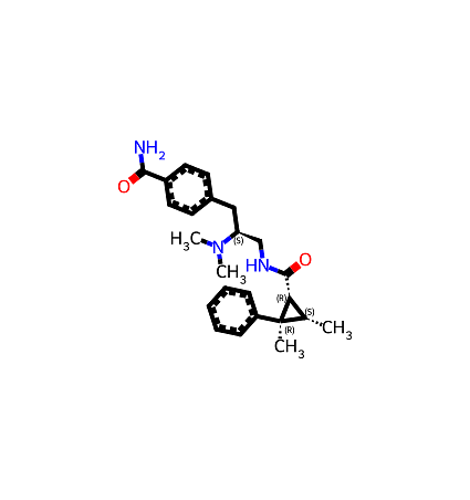 C[C@H]1[C@@H](C(=O)NC[C@H](Cc2ccc(C(N)=O)cc2)N(C)C)[C@]1(C)c1ccccc1